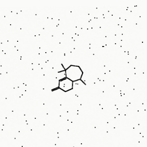 C=C1C=C2C(CC1)C(C)CCCC2(C)C